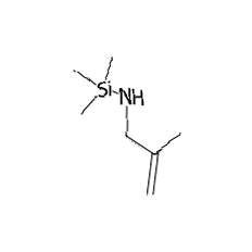 C=C(C)CN[Si](C)(C)C